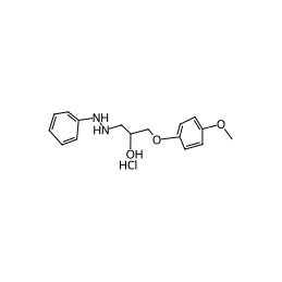 COc1ccc(OCC(O)CNNc2ccccc2)cc1.Cl